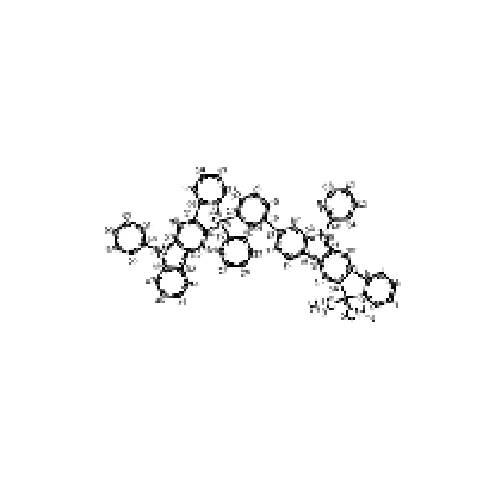 CC1(C)c2ccccc2-c2cc3c(cc21)c1ccc(-c2cccc([Si]4(c5ccccc5)c5ccccc5-c5cc6c(cc54)c4ccccc4n6-c4ccccc4)c2)cc1n3-c1ccccn1